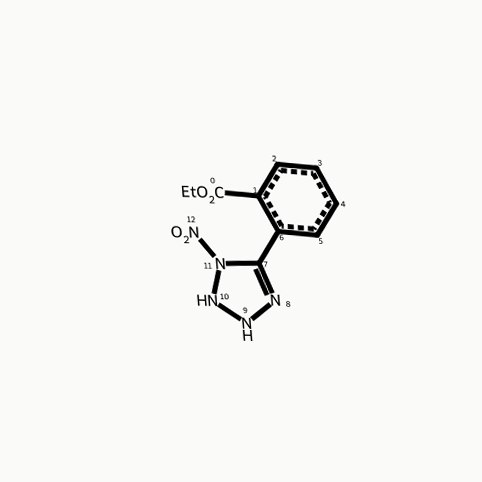 CCOC(=O)c1ccccc1C1=NNNN1[N+](=O)[O-]